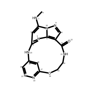 CNc1cc2nc3c(cnn13)C(=O)NCCOc1cc(cnn1)N2